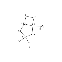 CC(C)C12CCN1CC(C)(F)C2